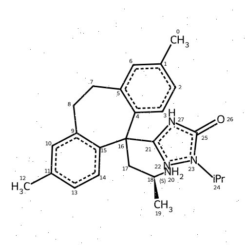 Cc1ccc2c(c1)CCc1cc(C)ccc1C2(C[C@H](C)N)c1nn(C(C)C)c(=O)[nH]1